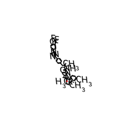 Cc1ccc(N2C(=O)CSC2=NC(=O)NC(C)Cc2ccc(-c3ncn(-c4ccc(OC(F)(F)F)cc4)n3)cc2)c(C(C)C)c1